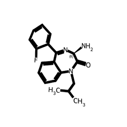 CC(C)CN1C(=O)[C@H](N)N=C(c2ccccc2F)c2ccccc21